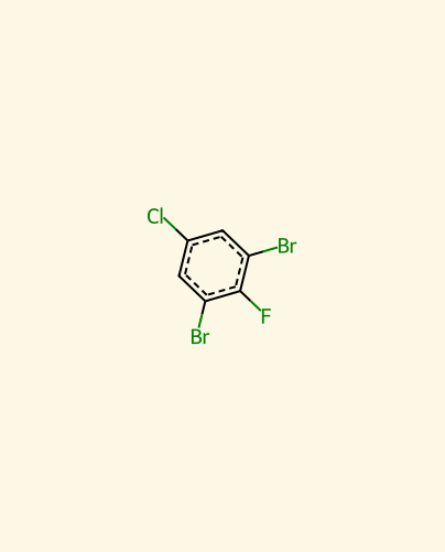 Fc1c(Br)cc(Cl)cc1Br